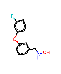 ONCc1cccc(Oc2cccc(F)c2)c1